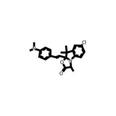 CC1C(=O)OC2(/C=C/c3ccc(N(C)C)cc3)N1c1ccc(Cl)cc1C2(C)C